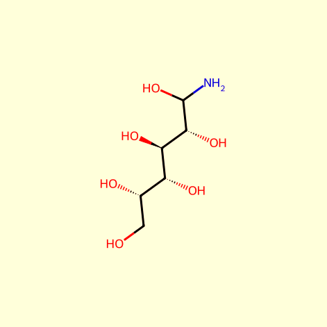 NC(O)[C@H](O)[C@H](O)[C@H](O)[C@@H](O)CO